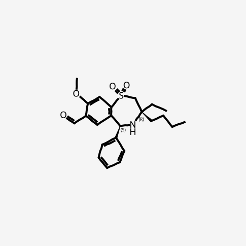 CCCC[C@]1(CC)CS(=O)(=O)c2cc(OC)c(C=O)cc2[C@H](c2ccccc2)N1